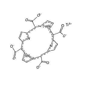 O=C([O-])c1c2nc(c(C(=O)[O-])c3ccc([nH]3)c(C(=O)[O-])c3nc(c(C(=O)[O-])c4ccc1[nH]4)C=C3)C=C2.[Ti+4]